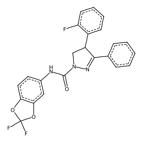 O=C(Nc1ccc2c(c1)OC(F)(F)O2)N1CC(c2ccccc2F)C(c2ccccc2)=N1